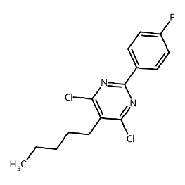 CCCCCc1c(Cl)nc(-c2ccc(F)cc2)nc1Cl